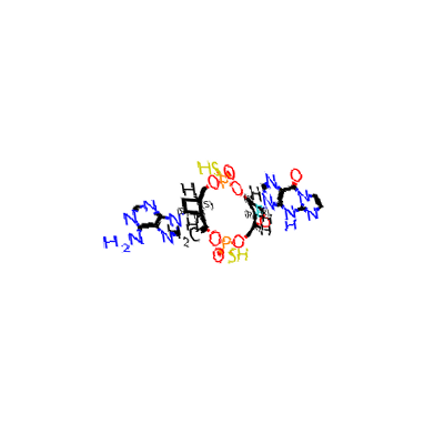 C=C1OP(=O)(S)OC[C@H]2O[C@@H](n3cnc4c(=O)n5ccnc5[nH]c43)[C@H](OP(=O)(S)OC[C@H]3C[C@@H](n4cnc5c(N)ncnc54)[C@H]13)[C@@H]2F